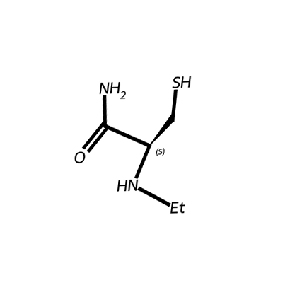 CCN[C@H](CS)C(N)=O